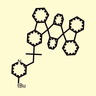 CC(C)(C)c1ccnc(CC(C)(C)c2ccc3c(c2)C2(c4ccccc4-3)c3ccccc3C3(c4ccccc4-c4ccccc43)c3ccccc32)c1